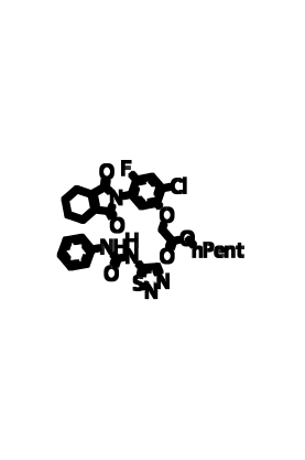 CCCCCOC(=O)COc1cc(N2C(=O)C3=C(CCCC3)C2=O)c(F)cc1Cl.O=C(Nc1ccccc1)Nc1cnns1